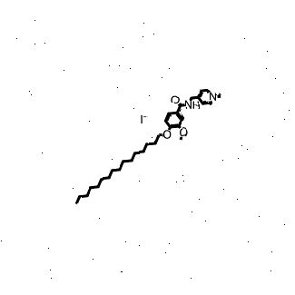 CCCCCCCCCCCCCCCCOc1ccc(C(=O)NCc2cc[n+](C)cc2)cc1OC.[I-]